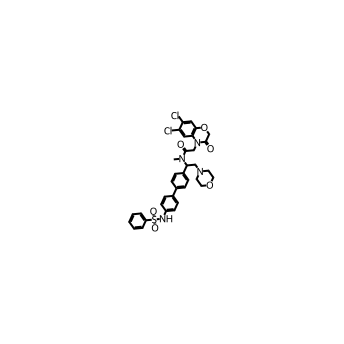 CN(C(=O)CN1C(=O)COc2cc(Cl)c(Cl)cc21)C(CN1CCOCC1)c1ccc(-c2ccc(NS(=O)(=O)c3ccccc3)cc2)cc1